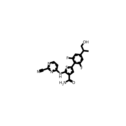 CC(CO)c1cc(F)c(-c2cc(C(N)=O)c(Nc3ccnc(C#N)n3)s2)c(F)c1